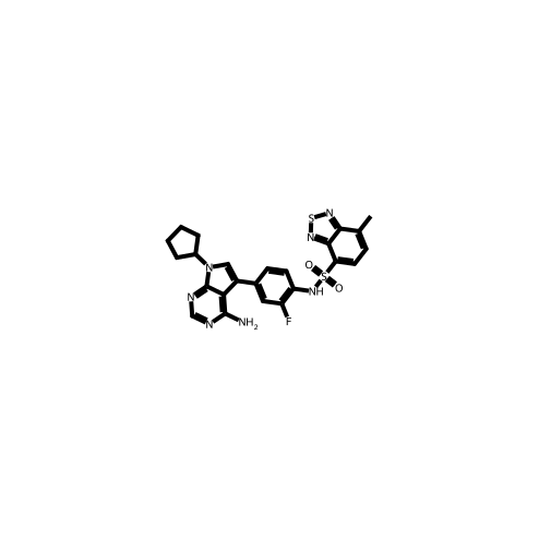 Cc1ccc(S(=O)(=O)Nc2ccc(-c3cn(C4CCCC4)c4ncnc(N)c34)cc2F)c2nsnc12